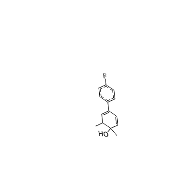 CC1C=C(c2ccc(F)cc2)C=CC1(C)O